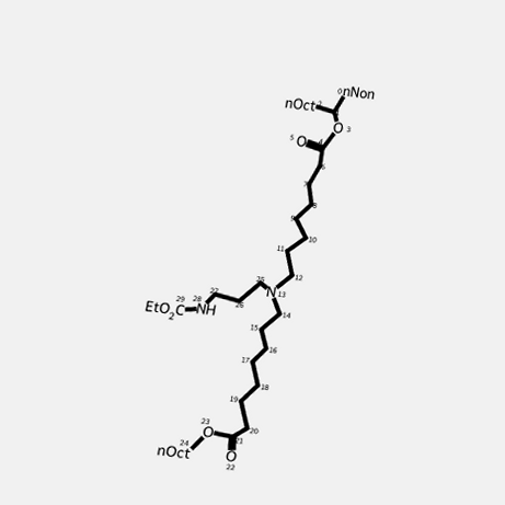 CCCCCCCCCC(CCCCCCCC)OC(=O)CCCCCCCN(CCCCCCCC(=O)OCCCCCCCC)CCCNC(=O)OCC